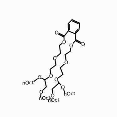 CCCCCCCCOCC(OCCCCCCCC)OCCOCCOC(=O)c1ccccc1C(=O)OCCOCCOC(COCCCCCCCC)OCCCCCCCC